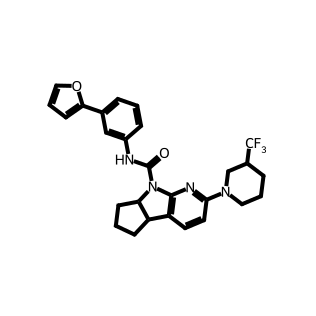 O=C(Nc1cccc(-c2ccco2)c1)N1c2nc(N3CCCC(C(F)(F)F)C3)ccc2C2CCCC21